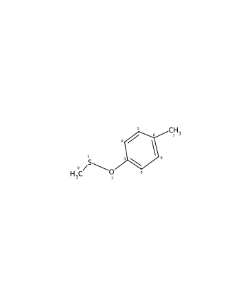 CSOc1ccc(C)cc1